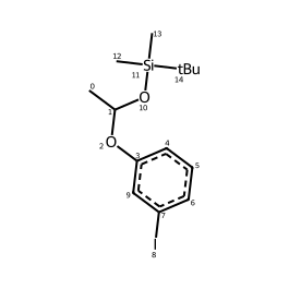 CC(Oc1cccc(I)c1)O[Si](C)(C)C(C)(C)C